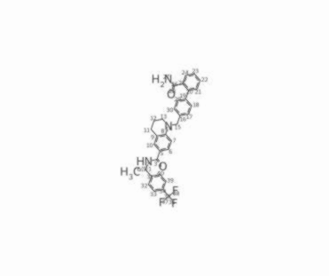 C[C@H](NC(=O)c1ccc2c(c1)CCCN2Cc1ccc(-c2ccccc2C(N)=O)cc1)c1ccc(C(F)(F)F)cc1